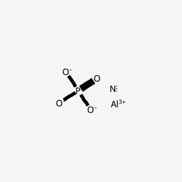 O=P([O-])([O-])[O-].[Al+3].[N]